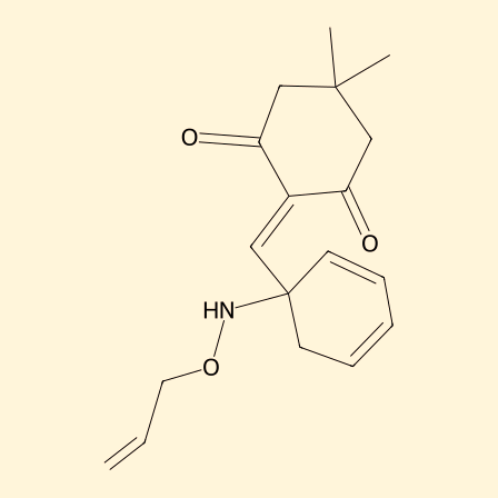 C=CCONC1(C=C2C(=O)CC(C)(C)CC2=O)C=CC=CC1